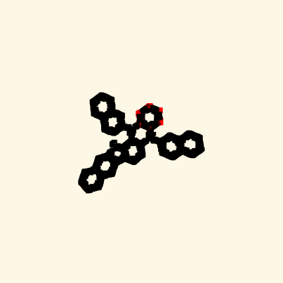 c1ccc(N(c2ccc3ccccc3c2)c2ccc3c(sc4cc5ccccc5cc43)c2N(c2ccccc2)c2ccc3ccccc3c2)cc1